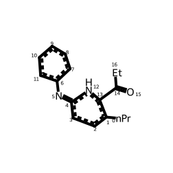 CCCc1ccc(=Nc2ccccc2)[nH]c1C(=O)CC